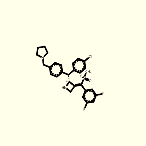 CS(=O)(=O)C(=C1CN[C@@H]1C(c1ccc(Cl)cc1)c1ccc(CN2CCCC2)cc1)c1cc(F)cc(F)c1